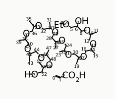 C=CC(=O)O.CCOCC(O)COC(C)COC(C)COC(C)COC(C)COC(C)COC(C)COC(C)COC(C)COC(C)COC(C)COC(C)CO